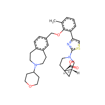 Cc1cccc(-c2csc(N3CC[C@@]4(C(=O)O)C[C@H]4C3)n2)c1OCc1ccc2c(c1)CCN(C1CCOCC1)CC2